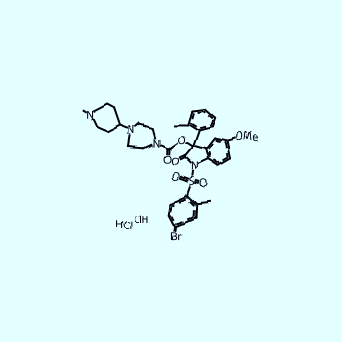 COc1ccc2c(c1)C(OC(=O)N1CCN(C3CCN(C)CC3)CC1)(c1ccccc1C)C(=O)N2S(=O)(=O)c1ccc(Br)cc1C.Cl.Cl